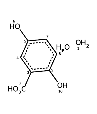 O.O.O=C(O)c1cc(O)ccc1O